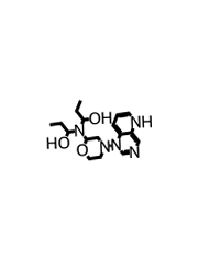 CCC(O)N(C(O)CC)C1CN(N2C=NC=C3NC=CC=C32)CCO1